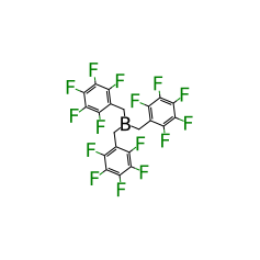 Fc1c(F)c(F)c(CB(Cc2c(F)c(F)c(F)c(F)c2F)Cc2c(F)c(F)c(F)c(F)c2F)c(F)c1F